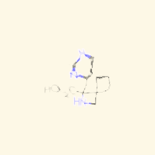 O=C(O)C1(c2ccn[c]n2)NCC12CCC2